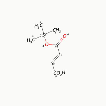 C[Si](C)(C)OC(=O)C=CC(=O)O